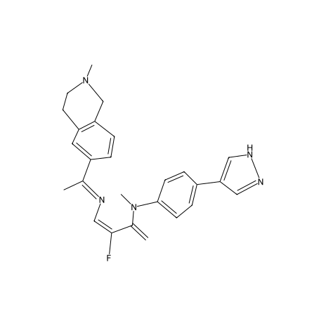 C=C(/C(F)=C\N=C(/C)c1ccc2c(c1)CCN(C)C2)N(C)c1ccc(-c2cn[nH]c2)cc1